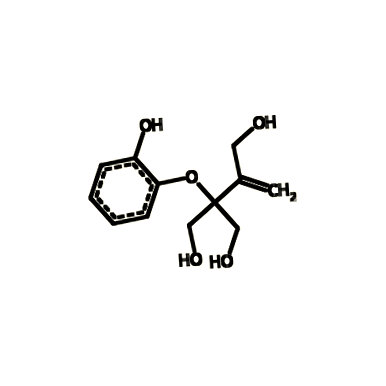 C=C(CO)C(CO)(CO)Oc1ccccc1O